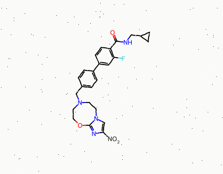 O=C(NCC1CC1)c1ccc(-c2ccc(CN3CCOc4nc([N+](=O)[O-])cn4CC3)cc2)cc1F